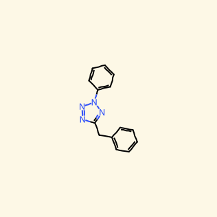 c1ccc(Cc2nnn(-c3ccccc3)n2)cc1